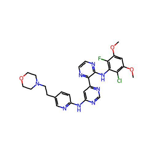 COc1cc(OC)c(Cl)c(Nc2nccnc2-c2cc(Nc3ccc(CCN4CCOCC4)cn3)ncn2)c1F